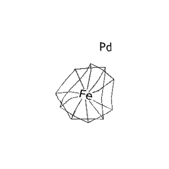 [CH]12[CH]3[CH]4[CH]5[CH]1[Fe]23451678[CH]2[CH]1[CH]6[CH]7[CH]28.[Pd]